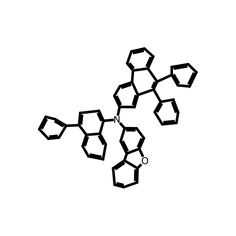 c1ccc(-c2ccc(N(c3ccc4c(c3)c(-c3ccccc3)c(-c3ccccc3)c3ccccc34)c3ccc4oc5ccccc5c4c3)c3ccccc23)cc1